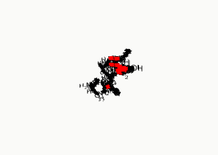 CCC(C)C1NC(=O)C(NC(=O)C(Cc2c[nH]c3ccccc23)NC(=O)C(CCCN)NC(=O)CNC(=O)C(CCCN)NC(=O)C(CCCN)NC(=O)C(Cc2c[nH]c3ccccc23)NC(=O)C(Cc2ccc(O)cc2)NC(=O)C(CC(N)=O)NC(=O)CCCCCC(C)C)C(C)OC(=O)CNC(=O)CNC(=O)C(CC(N)=O)NC1=O